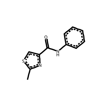 Cc1nc(C(=O)Nc2ccccc2)cs1